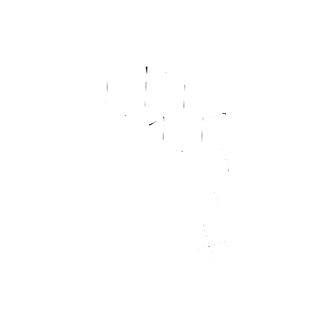 C[C@H](CCCC(F)(C(F)(F)F)C(F)(F)F)[C@H]1CC(=O)C2=C3CC[C@H]4C[C@@H](O)CC[C@]4(C)[C@H]3CC[C@@]21C